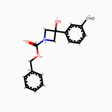 O=Cc1cccc(C2(O)CN(C(=O)OCc3ccccc3)C2)c1